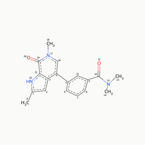 Cc1cc2c(-c3cccc(C(=O)N(C)C)c3)cn(C)c(=O)c2[nH]1